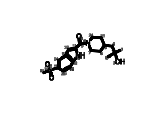 CC(C)(O)CC1CCN(C(=O)c2cc3cc(S(C)(=O)=O)ccc3[nH]2)CC1